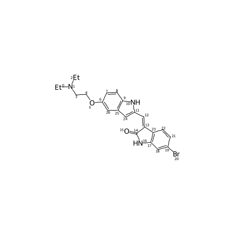 CCN(CC)CCOc1ccc2[nH]c(C=C3C(=O)Nc4cc(Br)ccc43)cc2c1